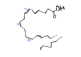 CCCCC/C=C\C/C=C\C/C=C\CCCCC(=O)O.CCCCCC